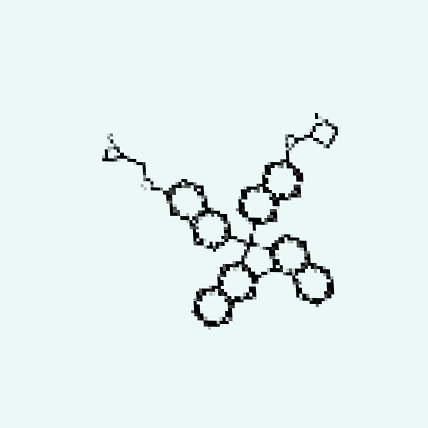 c1ccc2cc3c(cc2c1)-c1c(ccc2ccccc12)C3(c1ccc2cc(OCC3CS3)ccc2c1)c1ccc2cc(OC3CCS3)ccc2c1